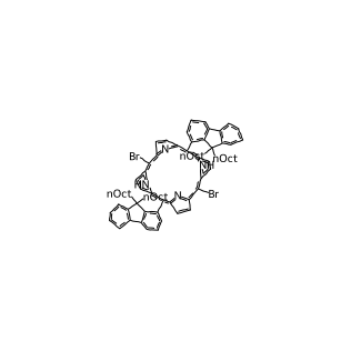 CCCCCCCCC1(CCCCCCCC)c2ccccc2-c2cccc(-c3c4nc(c(Br)c5ccc([nH]5)c(-c5cccc6c5C(CCCCCCCC)(CCCCCCCC)c5ccccc5-6)c5nc(c(Br)c6ccc3[nH]6)C=C5)C=C4)c21